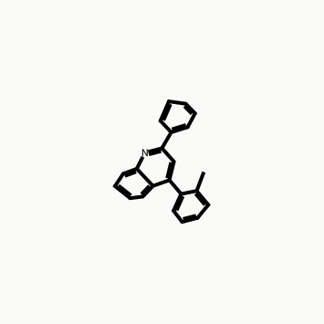 Cc1ccccc1-c1cc(-c2ccccc2)nc2ccccc12